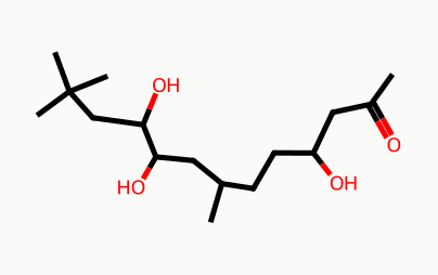 CC(=O)CC(O)CCC(C)CC(O)C(O)CC(C)(C)C